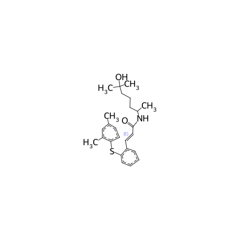 Cc1ccc(Sc2ccccc2/C=C/C(=O)NC(C)CCCC(C)(C)O)c(C)c1